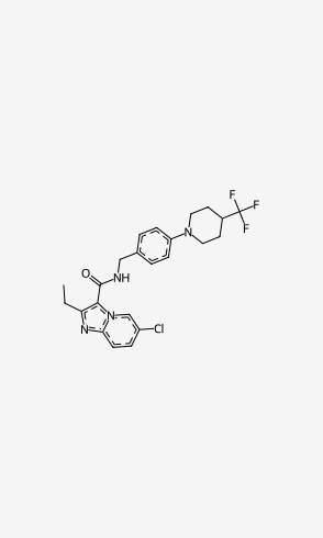 CCc1nc2ccc(Cl)cn2c1C(=O)NCc1ccc(N2CCC(C(F)(F)F)CC2)cc1